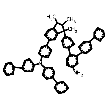 CC1c2ccc(-c3ccc(N(c4ccc(-c5ccccc5)cc4)c4ccc(-c5ccccc5)cc4)cc3)cc2C(C)(c2ccc(-c3ccc(N)cc3-c3ccc(-c4ccccc4)cc3)cc2)C1C